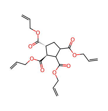 C=CCOC(=O)C1C[C@@H](C(=O)OCC=C)[C@H](C(=O)OCC=C)C1C(=O)OCC=C